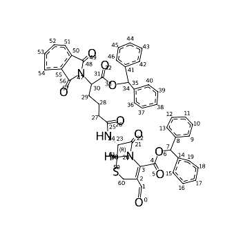 O=CC1=C(C(=O)OC(c2ccccc2)c2ccccc2)N2C(=O)[C@@H](NC(=O)CCCC(C(=O)OC(c3ccccc3)c3ccccc3)N3C(=O)c4ccccc4C3=O)[C@H]2SC1